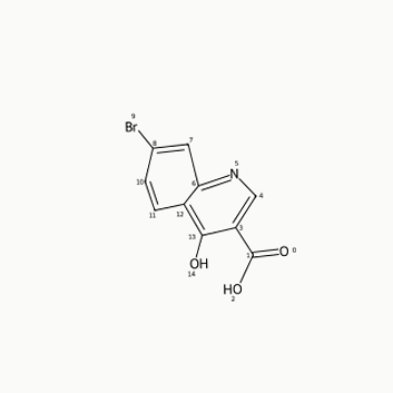 O=C(O)c1cnc2cc(Br)ccc2c1O